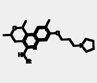 CCNc1nc2cc(OCCCN3CCCC3)c(C)cc2c2c1CC(C)OC2C